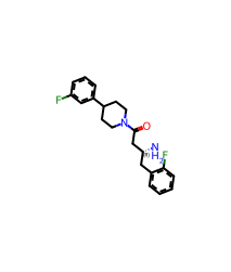 N[C@@H](CC(=O)N1CCC(c2cccc(F)c2)CC1)Cc1ccccc1F